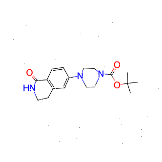 CC(C)(C)OC(=O)N1CCN(c2ccc3c(c2)CCNC3=O)CC1